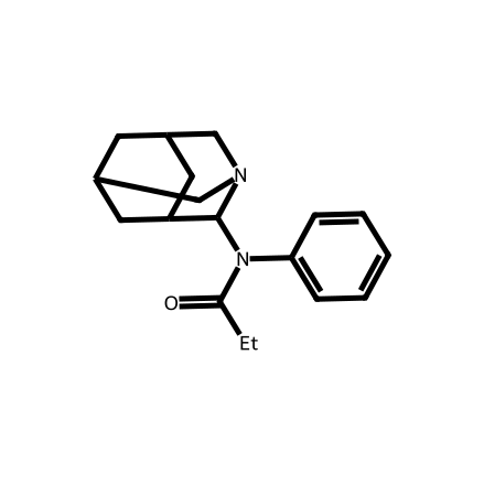 CCC(=O)N(c1ccccc1)C1C2CC3CC(C2)CN1C3